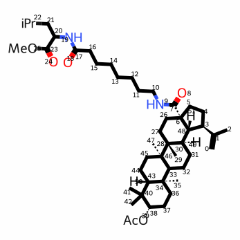 C=C(C)[C@@H]1CC[C@]2(C(=O)NCCCCCCCC(=O)NC(CC(C)C)C(=O)OC)CC[C@]3(C)[C@H](CCC4[C@@]5(C)CC[C@H](OC(C)=O)C(C)(C)[C@@H]5CC[C@]43C)[C@@H]12